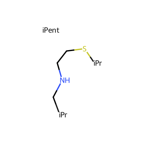 CCC[C@H](C)C(CNCC(C)C)SC(C)C